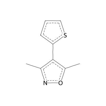 Cc1noc(C)c1-c1cccs1